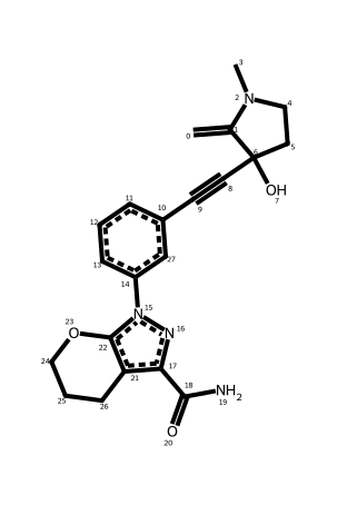 C=C1N(C)CCC1(O)C#Cc1cccc(-n2nc(C(N)=O)c3c2OCCC3)c1